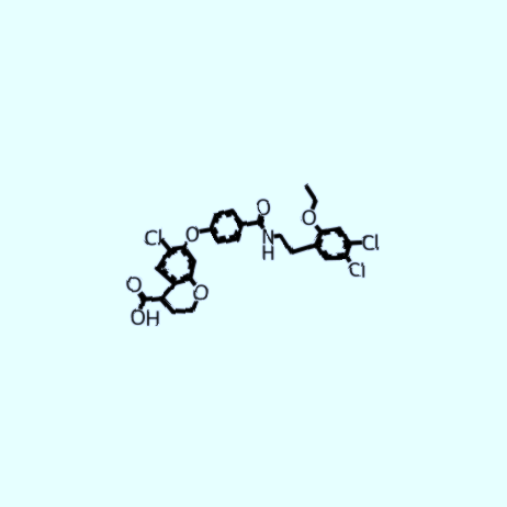 CCOc1cc(Cl)c(Cl)cc1CCNC(=O)c1ccc(Oc2cc3c(cc2Cl)C(C(=O)O)CCO3)cc1